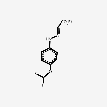 CCOC(=O)C=NNc1ccc(OC(F)F)cc1